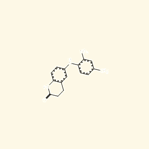 [CH2]c1ccc(Nc2ccc3c(c2)CCC(=O)N3)c([N+](=O)[O-])c1